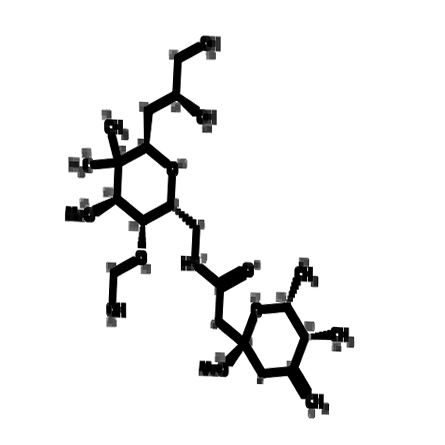 C=C1C[C@@](CC(=O)NC[C@H]2O[C@H](C[C@H](O)CO)C(C)(C)[C@H](OC)[C@H]2OCO)(OC)O[C@H](C)[C@@H]1C